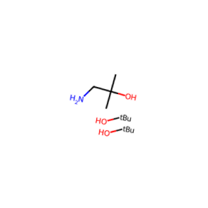 CC(C)(C)O.CC(C)(C)O.CC(C)(O)CN